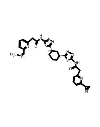 C/N=C\c1cccc(CC(=O)Nc2nnc([C@H]3CCC[C@H](c4nnc(NC(=O)Cc5cccc(C6C=N6)n5)s4)C3)s2)n1